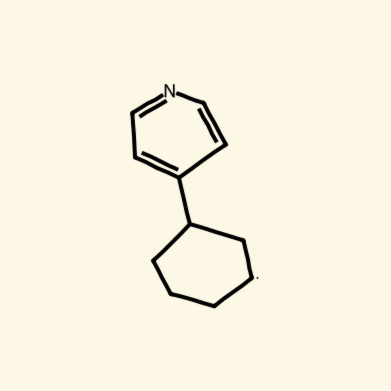 [CH]1CCCC(c2ccncc2)C1